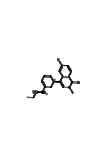 CCN[SiH2]C1=CC=C[C@@H](c2cn(C)c(=O)c3ccc(F)cc23)C1